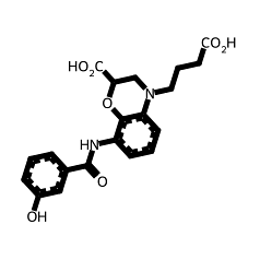 O=C(O)CCCN1CC(C(=O)O)Oc2c(NC(=O)c3cccc(O)c3)cccc21